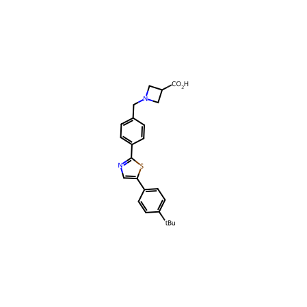 CC(C)(C)c1ccc(-c2cnc(-c3ccc(CN4CC(C(=O)O)C4)cc3)s2)cc1